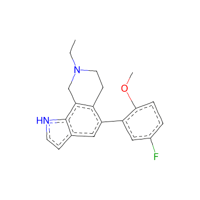 CCN1CCc2c(-c3cc(F)ccc3OC)cc3cc[nH]c3c2C1